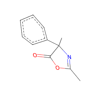 CC1=NC(C)(c2ccccc2)C(=O)O1